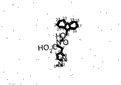 CN(C)c1ccc(C[C@H](NC(=O)OCC2c3ccccc3-c3ccccc32)C(=O)O)cn1